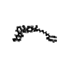 CC(C)(C)C(COCCOCCNC(=O)c1ccc(C(=O)NC2CCCc3c2[nH]c2ccc(Cl)cc32)nc1)NC(=O)O